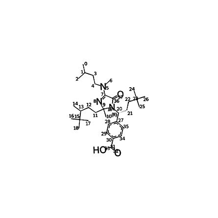 CC(C)CCN(C)C1=NC(C)(CCC(C)C(C)(C)C)N([C@H](CCC(C)(C)C)c2ccc(C(=O)O)cc2)C1=O